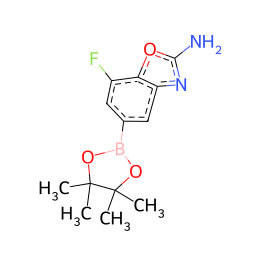 CC1(C)OB(c2cc(F)c3oc(N)nc3c2)OC1(C)C